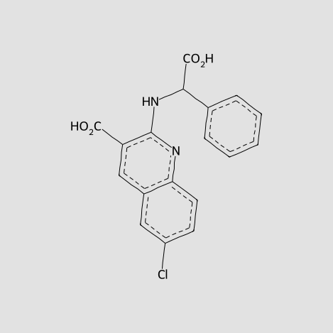 O=C(O)c1cc2cc(Cl)ccc2nc1NC(C(=O)O)c1ccccc1